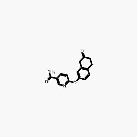 NC(=O)c1ccc(Oc2ccc3c(c2)CC(=O)CC3)nc1